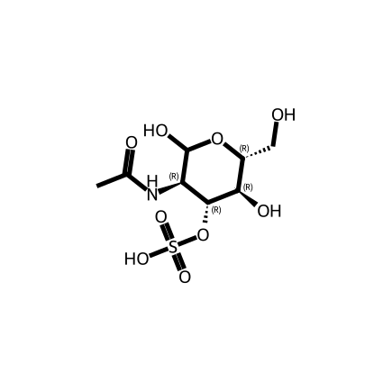 CC(=O)N[C@H]1C(O)O[C@H](CO)[C@@H](O)[C@@H]1OS(=O)(=O)O